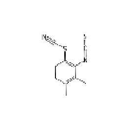 Cc1ccc(SC#N)c(N=C=S)c1C